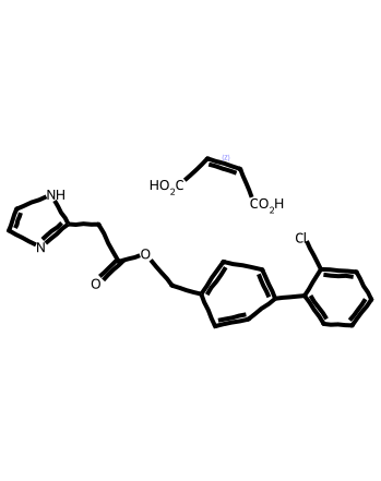 O=C(Cc1ncc[nH]1)OCc1ccc(-c2ccccc2Cl)cc1.O=C(O)/C=C\C(=O)O